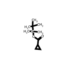 CC(C)(C)[Si](C)(C)OC(=O)C1CC1